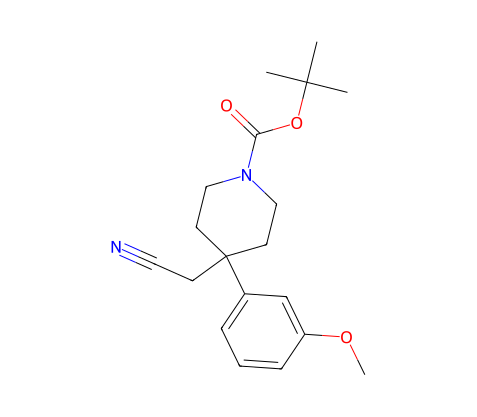 COc1cccc(C2(CC#N)CCN(C(=O)OC(C)(C)C)CC2)c1